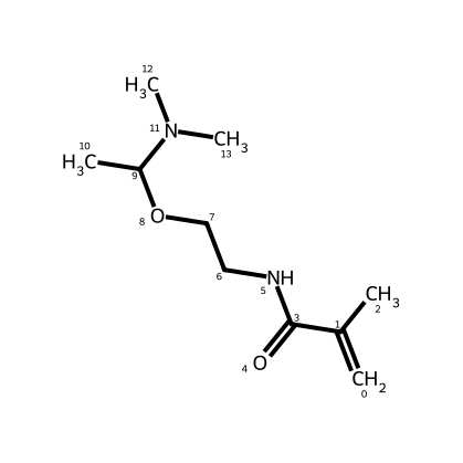 C=C(C)C(=O)NCCOC(C)N(C)C